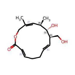 C/C1=C/[C@@H](C)[C@H](O)[C@@H](CO)/C=C/CC/C=C/C(=O)OC1